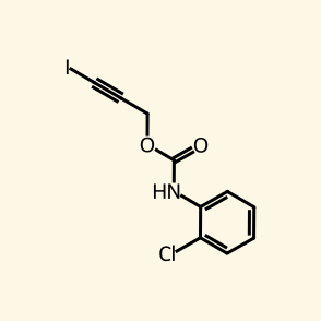 O=C(Nc1ccccc1Cl)OCC#CI